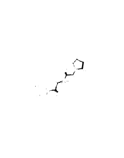 CN(C)C(=O)CNC(=O)CN1CCCC1